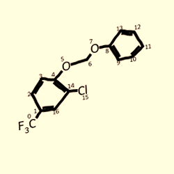 FC(F)(F)c1ccc(OCOc2ccccc2)c(Cl)c1